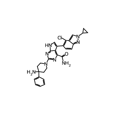 NC(=O)c1nc(N2CCC(N)(c3ccccc3)CC2)nc2[nH]cc(-c3ccc4nn(C5CC5)cc4c3Cl)c12